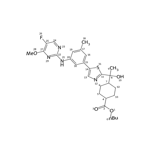 CCCCOC(=O)C1CCC(C(C)(O)c2ncc(-c3cc(C)cc(Nc4ncc(F)c(OC)n4)c3)s2)CC1